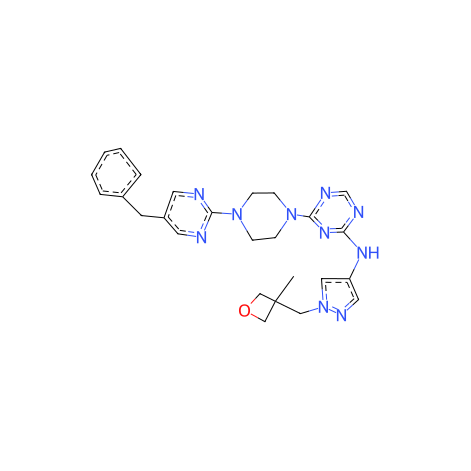 CC1(Cn2cc(Nc3ncnc(N4CCN(c5ncc(Cc6ccccc6)cn5)CC4)n3)cn2)COC1